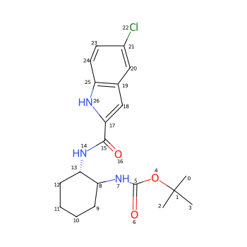 CC(C)(C)OC(=O)NC1CCCC[C@@H]1NC(=O)c1cc2cc(Cl)ccc2[nH]1